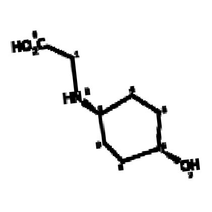 O=C(O)CN[C@H]1CC[C@H](O)CC1